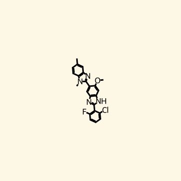 COc1cc2[nH]c(-c3c(F)cccc3Cl)nc2cc1-c1nc2cc(C)ccc2n1C